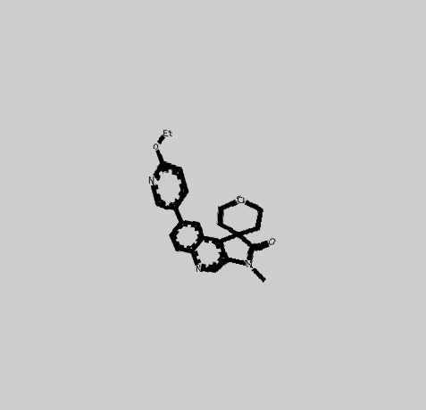 CCOc1ccc(-c2ccc3ncc4c(c3c2)C2(CCOCC2)C(=O)N4C)cn1